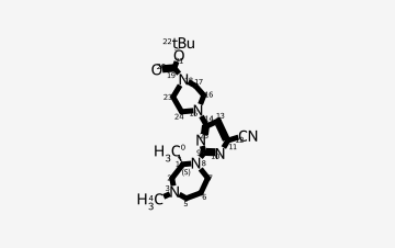 C[C@H]1CN(C)CCCN1c1nc(C#N)cc(N2CCN(C(=O)OC(C)(C)C)CC2)n1